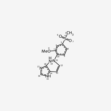 COc1cc(S(C)(=O)=O)ccc1N1C=Cc2[nH]cnc2N1